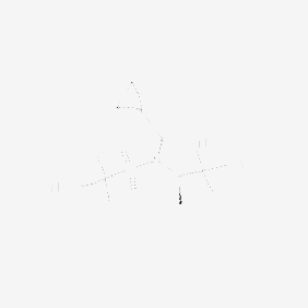 C[C@@H](N(CC1CC1)S(=O)(=O)C(C)(C)C)C(C)(C)C